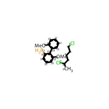 CC(Cl)CCCCCl.COc1ccccc1-c1c(P)cccc1OC